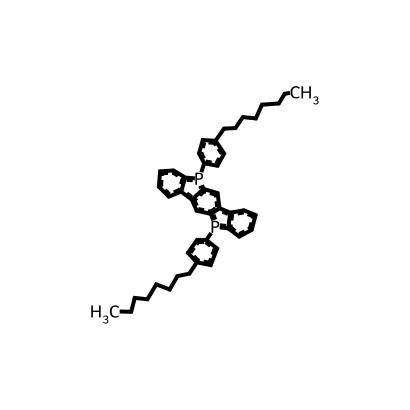 CCCCCCCCc1ccc(-p2c3ccccc3c3cc4c(cc32)c2ccccc2p4-c2ccc(CCCCCCCC)cc2)cc1